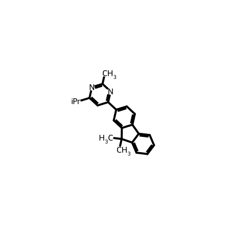 Cc1nc(-c2ccc3c(c2)C(C)(C)c2ccccc2-3)cc(C(C)C)n1